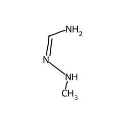 CN/N=C\N